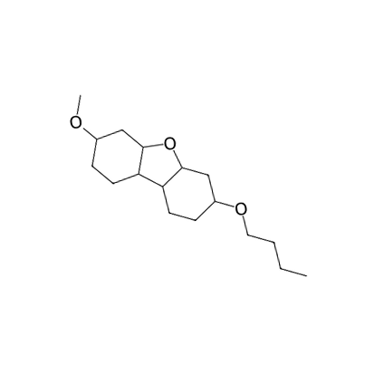 CCCCOC1CCC2C(C1)OC1CC(OC)CCC12